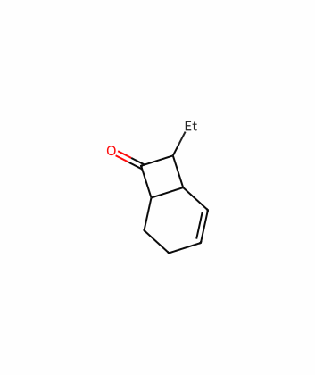 CCC1C(=O)C2CCC=CC12